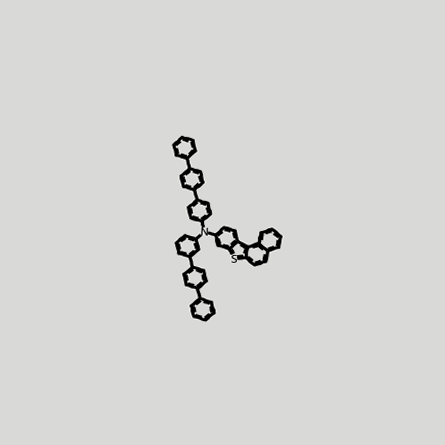 c1ccc(-c2ccc(-c3ccc(N(c4cccc(-c5ccc(-c6ccccc6)cc5)c4)c4ccc5c(c4)sc4ccc6ccccc6c45)cc3)cc2)cc1